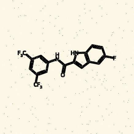 O=C(Nc1cc(C(F)(F)F)cc(C(F)(F)F)c1)c1cc2cc(F)ccc2[nH]1